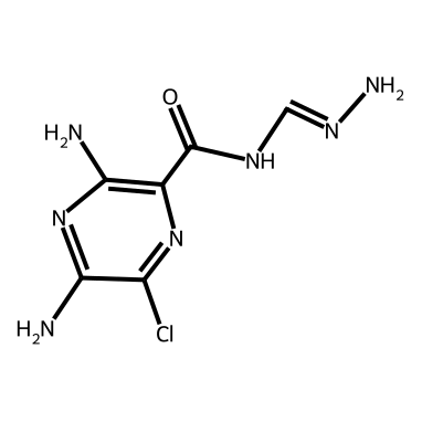 NN=CNC(=O)c1nc(Cl)c(N)nc1N